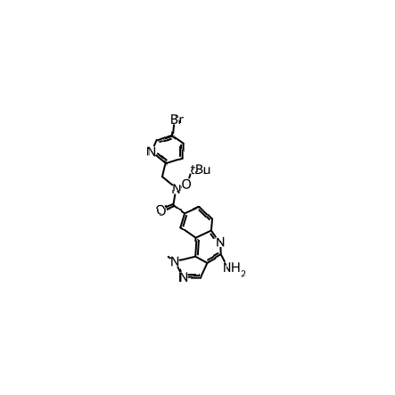 Cn1ncc2c(N)nc3ccc(C(=O)N(Cc4ccc(Br)cn4)OC(C)(C)C)cc3c21